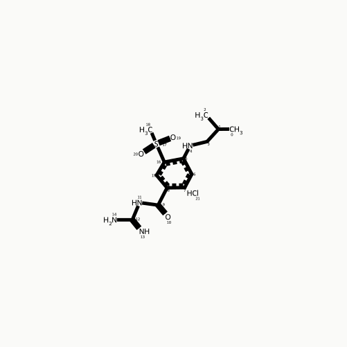 CC(C)CNc1ccc(C(=O)NC(=N)N)cc1S(C)(=O)=O.Cl